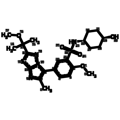 COc1ccc(-c2c(C)nc3sc(C(C)(C)OC)nn23)cc1S(=O)(=O)N[C@H]1CC[C@H](O)CC1